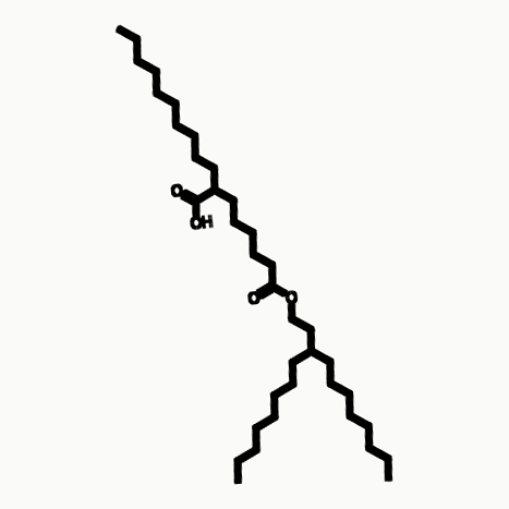 CCCCCCCCCCC(CCCCCC(=O)OCCC(CCCCCCCC)CCCCCCCC)C(=O)O